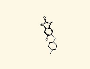 CN1CCC(Sc2cc3c(cc2Cl)[nH]c(=O)n3C)CC1